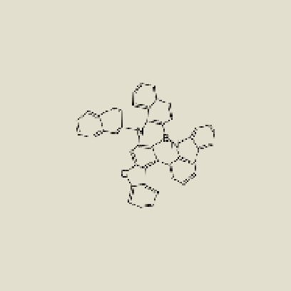 c1ccc2cc(N3c4cc5oc6ccccc6c5c5c4B(c4ccc6ccccc6c43)n3c4ccccc4c4cccc-5c43)ccc2c1